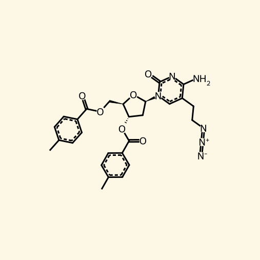 Cc1ccc(C(=O)OC[C@H]2O[C@@H](n3cc(CCN=[N+]=[N-])c(N)nc3=O)C[C@@H]2OC(=O)c2ccc(C)cc2)cc1